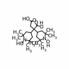 CC1(C)CC(C(CC(=O)O)(C(=O)O)C2CC(C)(C)N(O)C(C)(C)C2)CC(C)(C)N1O